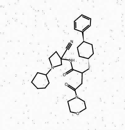 N#CC1(NC(=O)C(CC(=O)N2CCOCC2)C[C@H]2CC[C@H](c3ccccc3)CC2)CCN(C2CCCCC2)C1